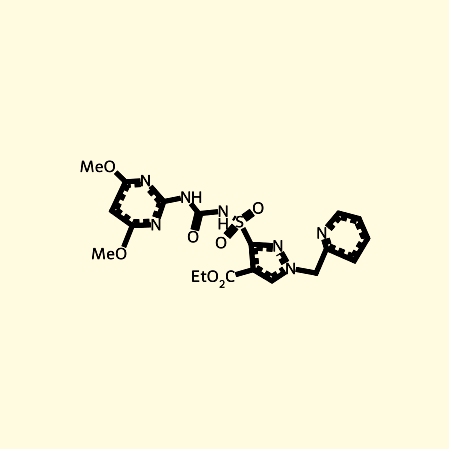 CCOC(=O)c1cn(Cc2ccccn2)nc1S(=O)(=O)NC(=O)Nc1nc(OC)cc(OC)n1